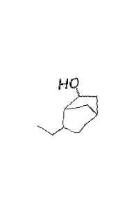 CCC1CC2CC(O)C1C2